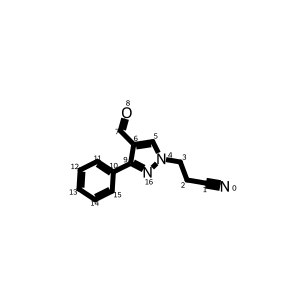 N#CCCn1cc(C=O)c(-c2ccccc2)n1